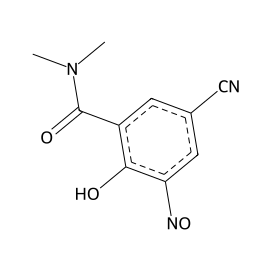 CN(C)C(=O)c1cc(C#N)cc(N=O)c1O